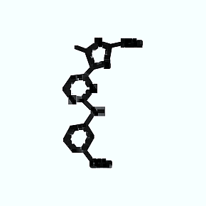 CNc1nc(C)c(-c2ccnc(Nc3cccc(OC)c3)n2)s1